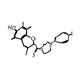 Cc1c(C)c2c(c(C)c1O)CC(C)C(C(=S)N1CCN(c3ccc(F)cc3)CC1)O2